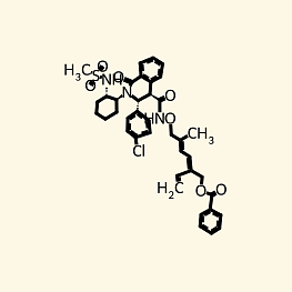 C=C/C(=C\C=C(/C)CONC(=O)[C@@H]1c2ccccc2C(=O)N([C@H]2CCCC[C@@H]2NS(C)(=O)=O)[C@H]1c1ccc(Cl)cc1)COC(=O)c1ccccc1